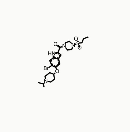 CCCS(=O)(=O)N1CCN(C(=O)c2cc3cc(OC4CCN(C(C)C)CC4)c(Br)cc3[nH]2)CC1